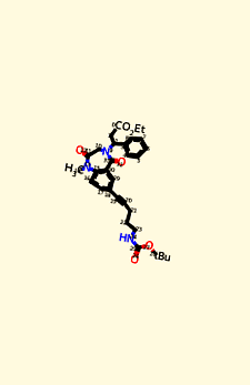 CCOC(=O)CC(c1ccccc1)N1CC(=O)N(C)c2ccc(C#CCCCNC(=O)OC(C)(C)C)cc2C1=O